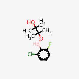 CC(C)(O)C(C)(C)OBc1c(F)cccc1Cl